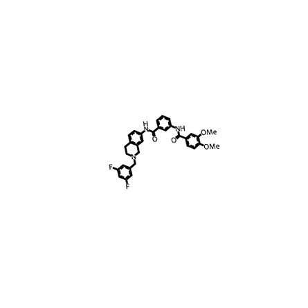 COc1ccc(C(=O)Nc2cccc(C(=O)Nc3ccc4c(c3)CN(Cc3cc(F)cc(F)c3)CC4)c2)cc1OC